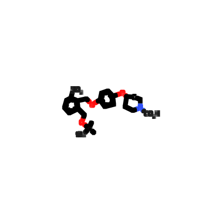 CC(C)(C)[Si](C)(C)OCc1cccc([N+](=O)[O-])c1COc1ccc(OC2CCN(C(=O)O)CC2)cc1